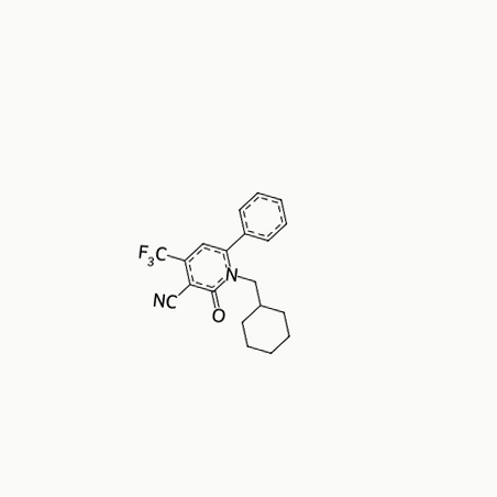 N#Cc1c(C(F)(F)F)cc(-c2ccccc2)n(CC2CCCCC2)c1=O